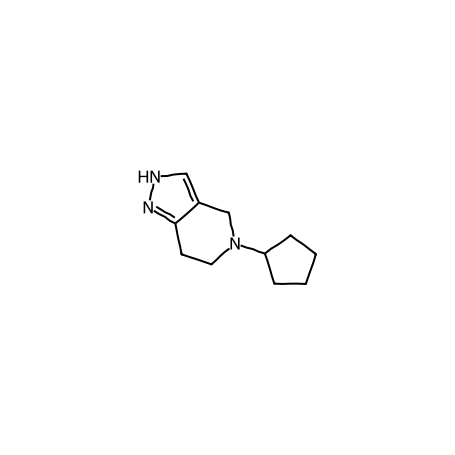 c1[nH]nc2c1CN(C1CCCC1)CC2